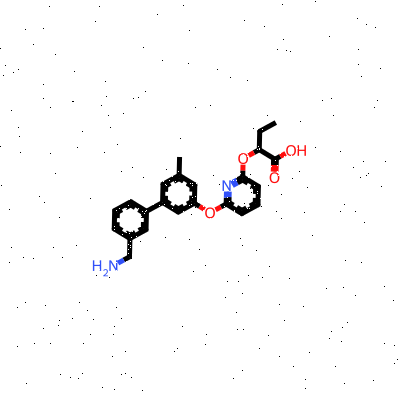 CCC(Oc1cccc(Oc2cc(C)cc(-c3cccc(CN)c3)c2)n1)C(=O)O